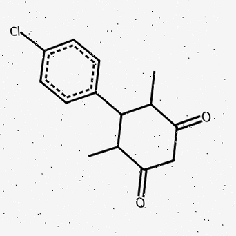 CC1C(=O)CC(=O)C(C)C1c1ccc(Cl)cc1